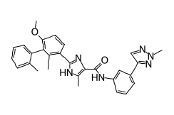 COc1ccc(-c2nc(C(=O)Nc3cccc(-c4cnn(C)n4)c3)c(C)[nH]2)c(C)c1-c1ccccc1C